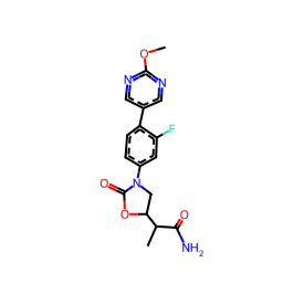 COc1ncc(-c2ccc(N3CC(C(C)C(N)=O)OC3=O)cc2F)cn1